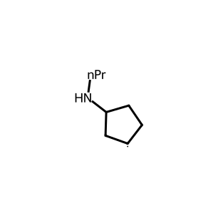 CCCNC1C[CH]CC1